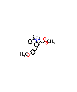 COC(=O)CC[C@H]1C[C@@H](Cc2ccc(OC)cc2)CC[C@H]1N[C@H](C)c1ccccc1